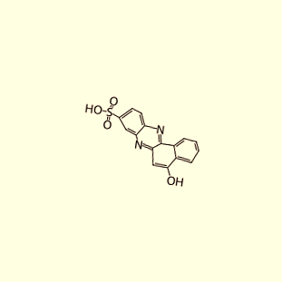 O=S(=O)(O)c1ccc2nc3c(cc(O)c4ccccc43)nc2c1